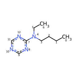 CCCCN(CC)c1ncncn1